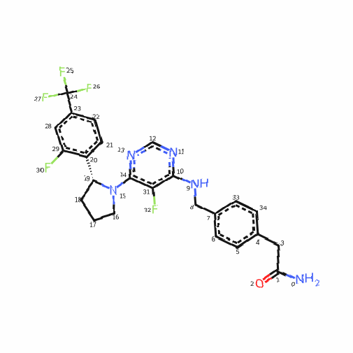 NC(=O)Cc1ccc(CNc2ncnc(N3CCC[C@@H]3c3ccc(C(F)(F)F)cc3F)c2F)cc1